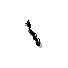 C=CC(=O)OCCCCOc1ccc(C(=O)Oc2ccc(C(=O)Oc3ccc(Cl)cc3)cc2)cc1